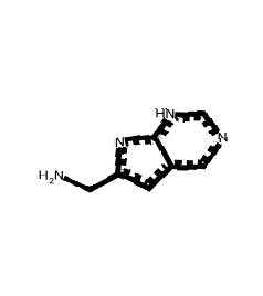 NCc1cc2cnc[nH]c-2n1